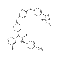 Cc1ccc(NC(=O)C(c2cccc(F)c2)C2CCN(Cc3ccc(Oc4ccc(NS(C)(=O)=O)cc4)nc3)CC2)cn1